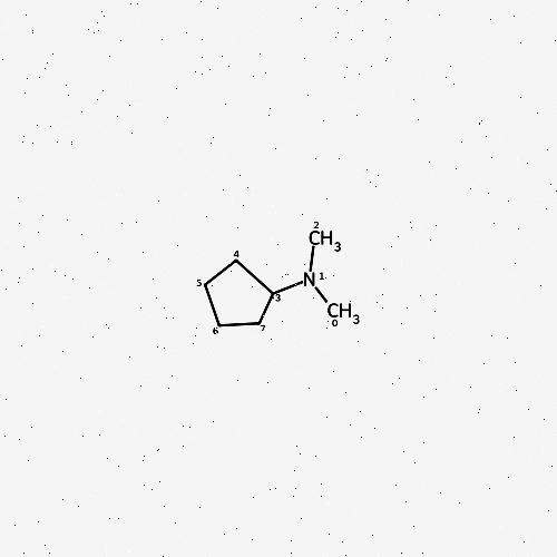 CN(C)[C]1CCCC1